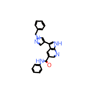 O=C(Nc1ccccc1)c1cnc2[nH]cc(-c3cnn(Cc4ccccc4)c3)c2c1